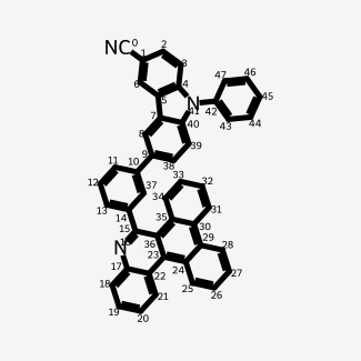 N#Cc1ccc2c(c1)c1cc(-c3cccc(-c4nc5ccccc5c5c6ccccc6c6ccccc6c45)c3)ccc1n2-c1ccccc1